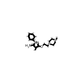 Cc1c(OCCN2CCN(C)CC2)nn(-c2ccccc2)c1N